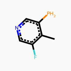 Cc1c(F)cncc1P